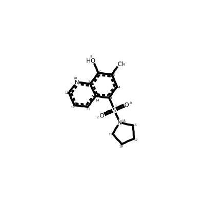 O=S(=O)(c1cc(Cl)c(O)c2ncccc12)N1CCCC1